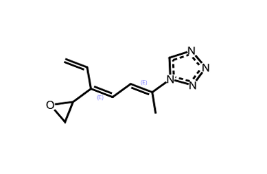 C=C/C(=C\C=C(/C)n1cnnn1)C1CO1